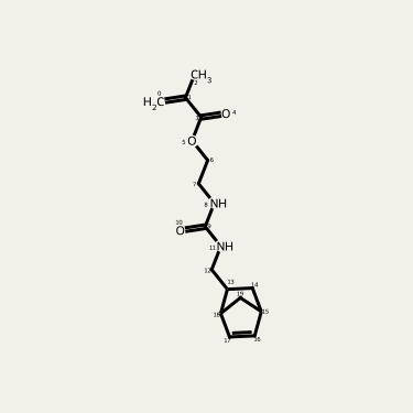 C=C(C)C(=O)OCCNC(=O)NCC1CC2C=CC1C2